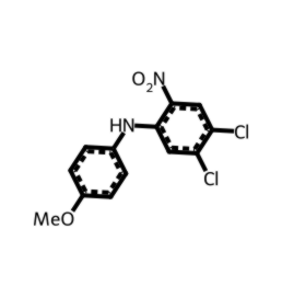 COc1ccc(Nc2cc(Cl)c(Cl)cc2[N+](=O)[O-])cc1